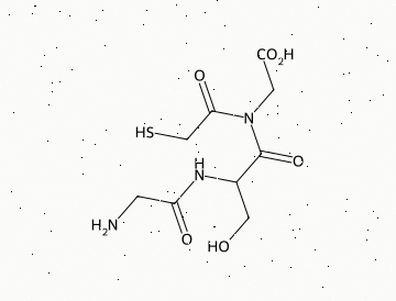 NCC(=O)NC(CO)C(=O)N(CC(=O)O)C(=O)CS